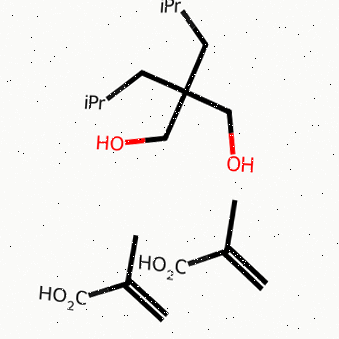 C=C(C)C(=O)O.C=C(C)C(=O)O.CC(C)CC(CO)(CO)CC(C)C